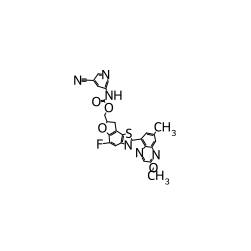 COc1cnc2c(-c3nc4cc(F)c5c(c4s3)CC(COC(=O)Nc3cncc(C#N)c3)O5)cc(C)cc2n1